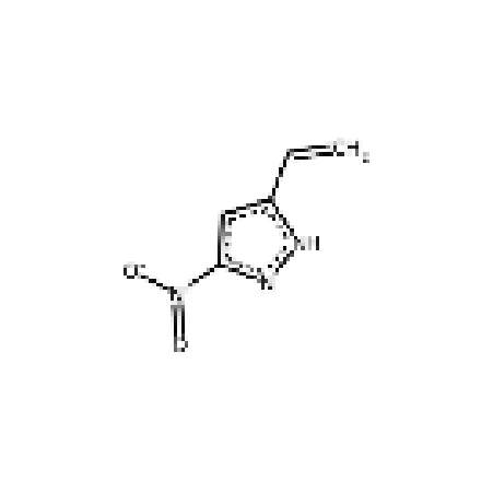 C=Cc1cc([N+](=O)[O-])n[nH]1